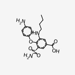 CCCCNc1cc(C(=O)O)cc(S(N)(=O)=O)c1Oc1ccc(N)cc1